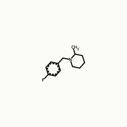 [CH2]C1CCCCN1Cc1ccc(F)cc1